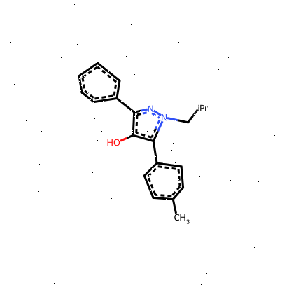 Cc1ccc(-c2c(O)c(-c3ccccc3)nn2CC(C)C)cc1